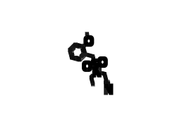 CCN(CC#N)S(=O)(=O)Cc1ccccc1OC